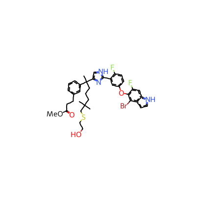 COC(=O)CCc1cccc(C(C)(CCCC(C)(C)CSCCO)c2c[nH]c(-c3cc(Oc4c(F)cc5[nH]ccc5c4Br)ccc3F)n2)c1